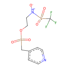 O=S(=O)(Cc1ccncc1)OCC[NH+]([O-])S(=O)(=O)C(F)(F)F